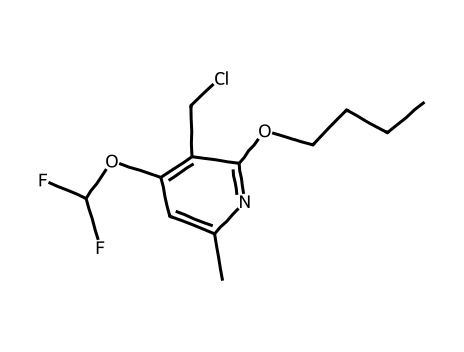 CCCCOc1nc(C)cc(OC(F)F)c1CCl